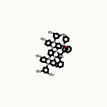 Cc1cc2c3c(c1)N1c4c(ccc5c4N(c4cc(N(c6ccccc6)c6ccccc6)cc6c4B5c4ccc(C(C)(C)C)cc4N6c4cc(C(C)(C)C)cc(C(C)(C)C)c4)c4c(-c5ccccc5)sc(-c5ccccc5)c41)B3c1cc(C(C)(C)C)ccc1N2c1cc(C(C)(C)C)cc(C(C)(C)C)c1